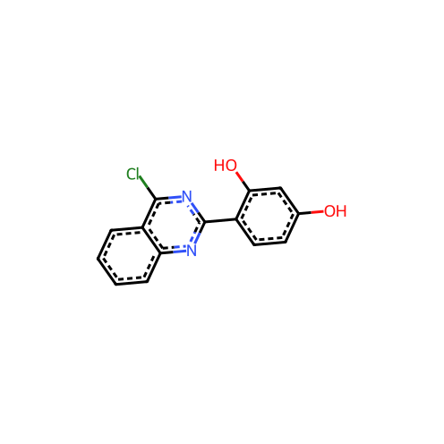 Oc1ccc(-c2nc(Cl)c3ccccc3n2)c(O)c1